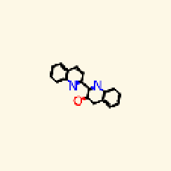 O=C1Cc2ccccc2N=C1c1ccc2ccccc2n1